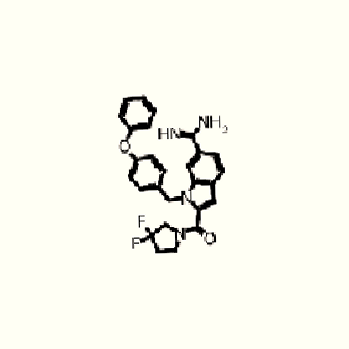 N=C(N)c1ccc2cc(C(=O)N3CCC(F)(F)C3)n(Cc3ccc(Oc4ccccc4)cc3)c2c1